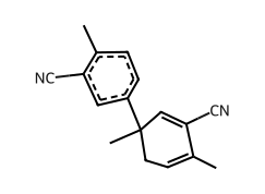 CC1=CCC(C)(c2ccc(C)c(C#N)c2)C=C1C#N